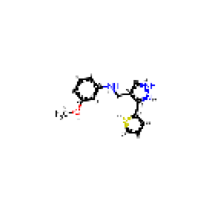 FC(F)(F)Oc1cccc(NCc2c[nH]nc2-c2cccs2)c1